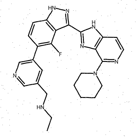 CCNCc1cncc(-c2ccc3[nH]nc(-c4nc5c(N6CCCCC6)nccc5[nH]4)c3c2F)c1